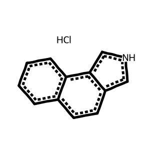 Cl.c1ccc2c(c1)ccc1c[nH]cc12